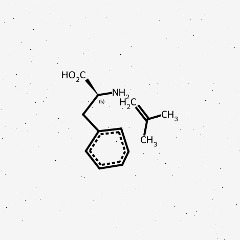 C=C(C)C.N[C@@H](Cc1ccccc1)C(=O)O